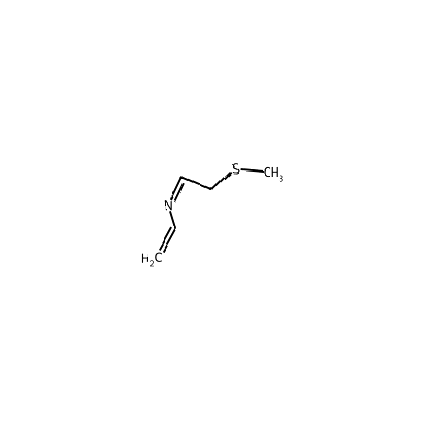 C=C/N=C\CSC